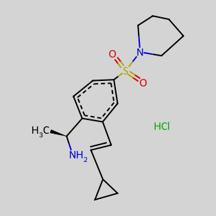 C[C@H](N)c1ccc(S(=O)(=O)N2CCCCC2)cc1/C=C/C1CC1.Cl